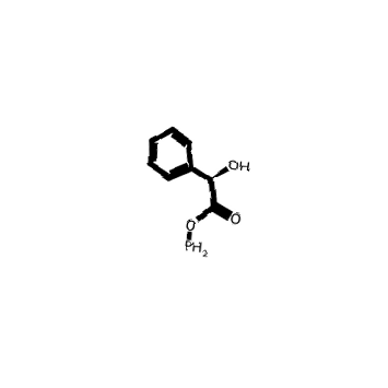 O=C(OP)[C@H](O)c1ccccc1